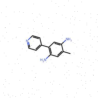 Cc1cc(N)c(-c2ccncc2)cc1N